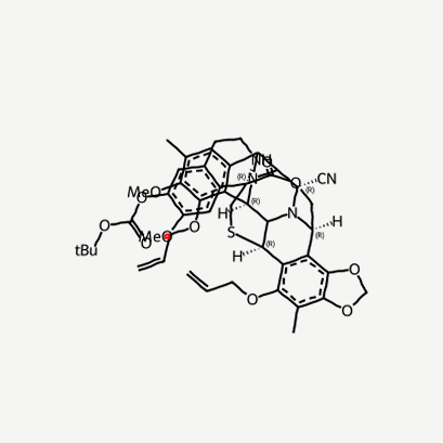 C=CCOc1c(C)c2c(c3c1[C@H]1SC[C@]4(NCCc5cc(OC(=O)OC(C)(C)C)c(OC)cc54)C(=O)OC[C@@H]3N3C1[C@H]1c4c(cc(C)c(OC)c4OCC=C)C4C([C@@H]3C#N)N41)OCO2